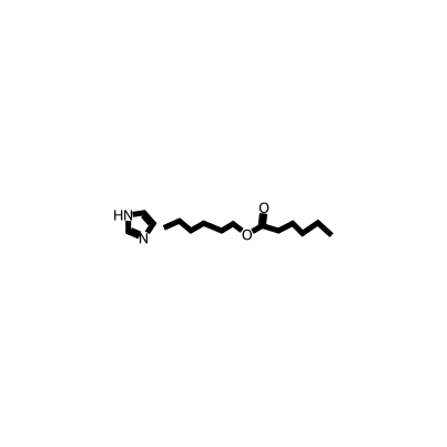 CCCCCCOC(=O)CCCCC.c1c[nH]cn1